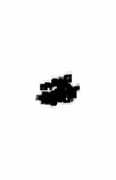 CCCOc1ccc(Cn2c(C)nc(Cl)c2C=CC(=O)NS(=O)(=O)c2ccc(C)cc2)c(Cl)c1